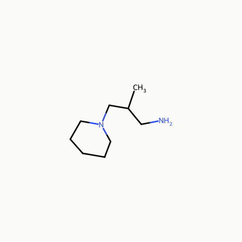 CC(CN)CN1CCCCC1